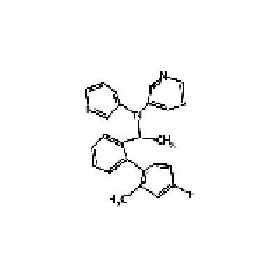 Cc1cc(F)ccc1-c1ccccc1C(C)N(c1cccnc1)c1cccnc1